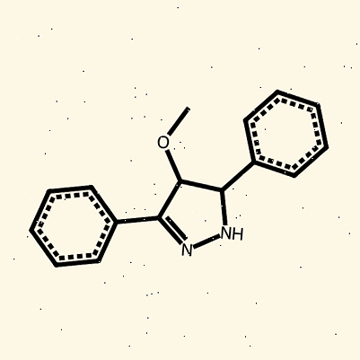 COC1C(c2ccccc2)=NNC1c1ccccc1